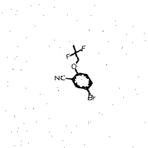 CC(F)(F)COc1ccc(Br)cc1C#N